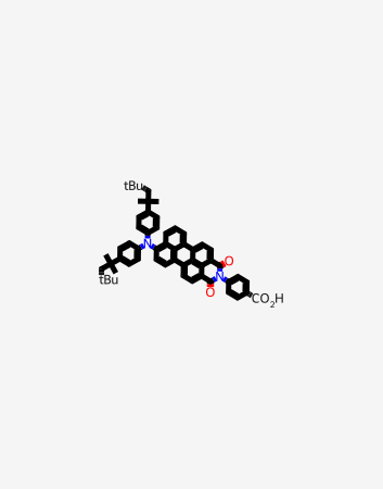 CC(C)(C)CC(C)(C)c1ccc(N(c2ccc(C(C)(C)CC(C)(C)C)cc2)c2ccc3c4ccc5c6c(ccc(c7cccc2c73)c64)C(=O)N(c2ccc(C(=O)O)cc2)C5=O)cc1